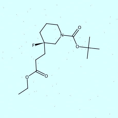 CCOC(=O)CC[C@]1(F)CCCN(C(=O)OC(C)(C)C)C1